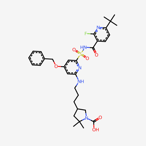 CC(C)(C)c1ccc(C(=O)NS(=O)(=O)c2cc(OCc3ccccc3)cc(NCCCC3CN(C(=O)O)C(C)(C)C3)n2)c(F)n1